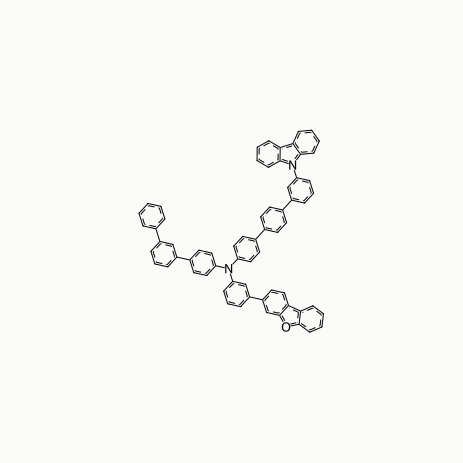 c1ccc(-c2cccc(-c3ccc(N(c4ccc(-c5ccc(-c6cccc(-n7c8ccccc8c8ccccc87)c6)cc5)cc4)c4cccc(-c5ccc6c(c5)oc5ccccc56)c4)cc3)c2)cc1